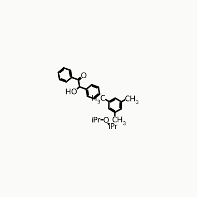 CC(C)OC(C)C.Cc1cc(C)cc(C)c1.O=C(c1ccccc1)C(O)c1ccccc1